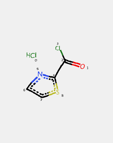 Cl.O=C(Cl)c1nccs1